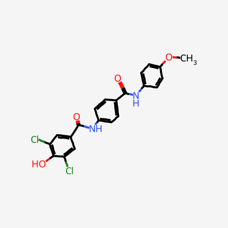 COc1ccc(NC(=O)c2ccc(NC(=O)c3cc(Cl)c(O)c(Cl)c3)cc2)cc1